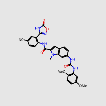 COc1ccc(OC)c(NC(=O)Nc2ccc3cc(C(=O)Nc4ccc(C#N)cc4-c4noc(=O)[nH]4)n(C)c3c2)c1